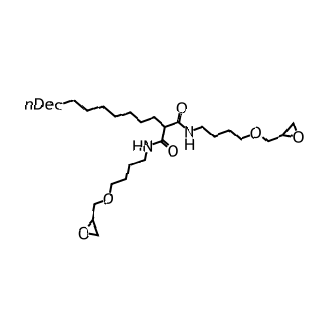 CCCCCCCCCCCCCCCCCC(C(=O)NCCCCOCC1CO1)C(=O)NCCCCOCC1CO1